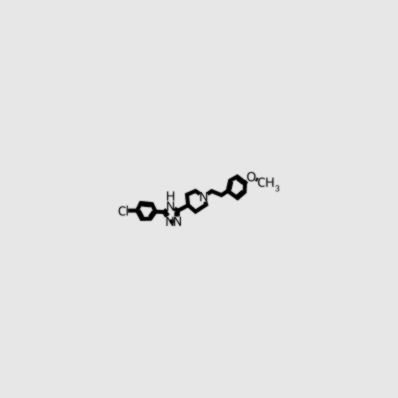 COc1ccc(CCN2CCC(c3nnc(-c4ccc(Cl)cc4)[nH]3)CC2)cc1